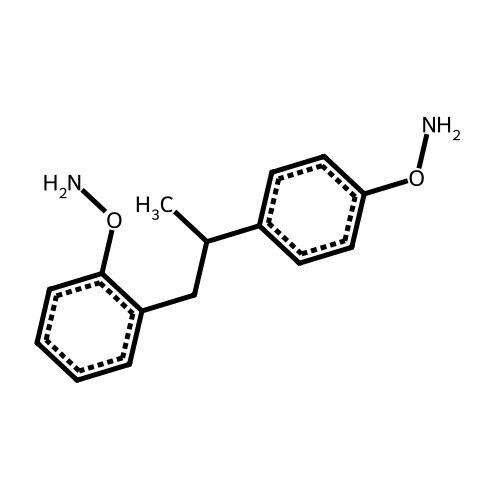 CC(Cc1ccccc1ON)c1ccc(ON)cc1